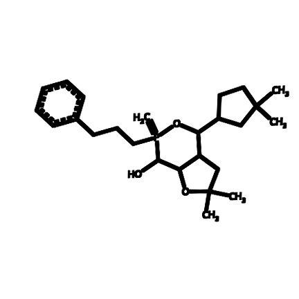 C=P1(CCCc2ccccc2)OC(C2CCC(C)(C)C2)C2CC(C)(C)OC2C1O